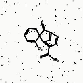 NC(=O)c1nnc2cc1C1(CC=CC=C1C(F)(F)F)C2=O